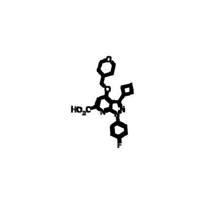 O=C(O)c1cc(OCC2CCOCC2)c2c(C3CCC3)nn(-c3ccc(F)cc3)c2n1